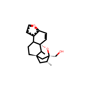 CC1[C@]23CCC4c5ccoc5C=C[C@]41O[C@](CO)(C2)[C@H](C)C3